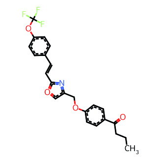 CCCC(=O)c1ccc(OCc2coc(C=Cc3ccc(OC(F)(F)F)cc3)n2)cc1